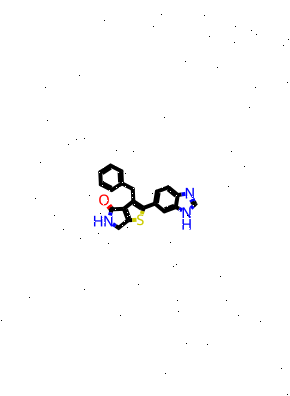 O=C1NCc2sc(-c3ccc4nc[nH]c4c3)c(Cc3ccccc3)c21